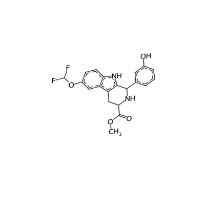 COC(=O)C1Cc2c([nH]c3ccc(OC(F)F)cc23)C(c2cccc(O)c2)N1